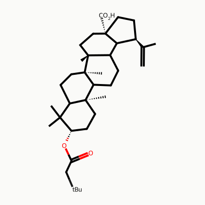 C=C(C)[C@@H]1CC[C@]2(C(=O)O)CC[C@]3(C)C(CCC4[C@@]5(C)CC[C@H](OC(=O)CC(C)(C)C)C(C)(C)C5CC[C@]43C)C12